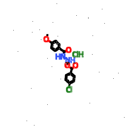 COc1ccc(C(=O)NNOC(=O)c2ccc(Cl)cc2)cc1.Cl